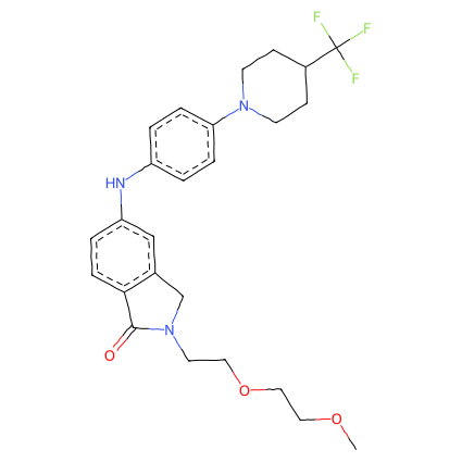 COCCOCCN1Cc2cc(Nc3ccc(N4CCC(C(F)(F)F)CC4)cc3)ccc2C1=O